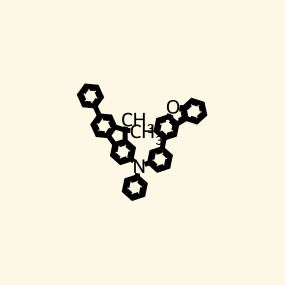 CC1(C)c2cc(-c3ccccc3)ccc2-c2ccc(N(c3ccccc3)c3cccc(-c4ccc5oc6ccccc6c5c4)c3)cc21